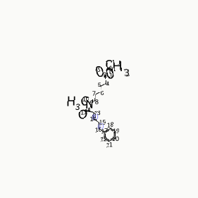 COC(=O)CCCCCN(C)C(=O)/C=C/C=C/c1ccccc1